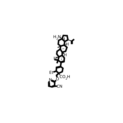 C=C(C)[C@@H]1CC[C@]2(N)CC[C@]3(C)[C@H](CC[C@@H]4[C@@]5(C)CC=C(C6=CC(CC)[C@](COc7ncccc7C#N)(C(=O)O)CC6)C(C)(C)[C@@H]5CC[C@]43C)[C@@H]12